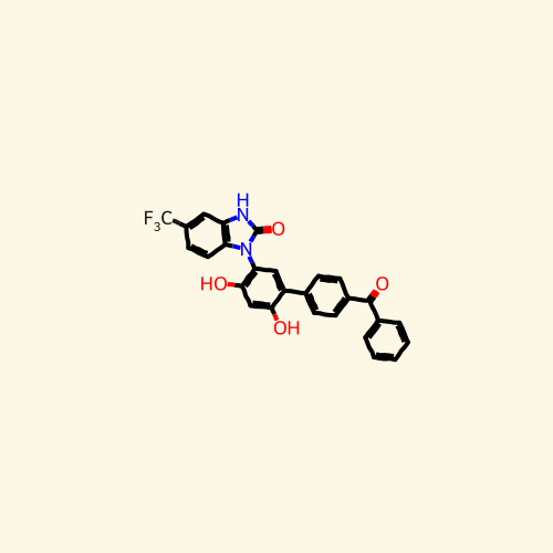 O=C(c1ccccc1)c1ccc(-c2cc(-n3c(=O)[nH]c4cc(C(F)(F)F)ccc43)c(O)cc2O)cc1